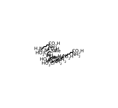 CC(C)[C@H](N)C(=O)O.CC(C)[C@H](N)C(=O)O.CC(C)[C@H](N)C(=O)O.CSCC[C@H](N)C(=O)O.NCC(=O)O.NCC(=O)O.NCCCC[C@H](N)C(=O)O.NCCCC[C@H](N)C(=O)O